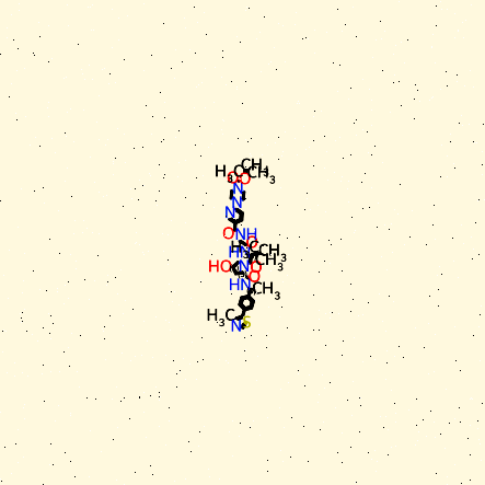 Cc1ncsc1-c1ccc([C@H](C)NC(=O)[C@@H]2C[C@@H](O)CN2C(=O)[C@@H](NC(=O)CNC(=O)c2ccc(N3CCN(C(=O)OC(C)(C)C)CC3)nc2)C(C)(C)C)cc1